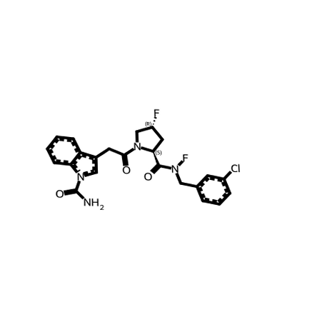 NC(=O)n1cc(CC(=O)N2C[C@H](F)C[C@H]2C(=O)N(F)Cc2cccc(Cl)c2)c2ccccc21